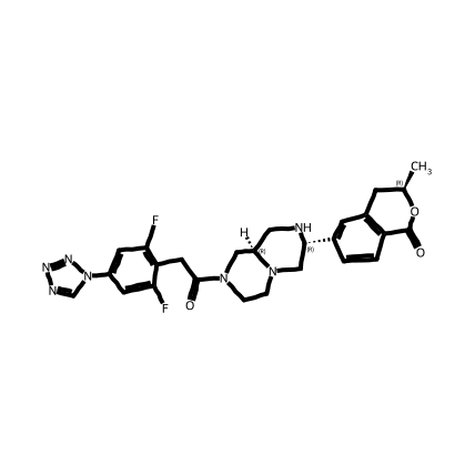 C[C@@H]1Cc2cc([C@@H]3CN4CCN(C(=O)Cc5c(F)cc(-n6cnnn6)cc5F)C[C@H]4CN3)ccc2C(=O)O1